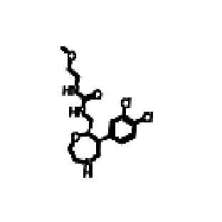 COCCNC(=O)NC[C@@H]1OCCNC[C@@H]1c1ccc(Cl)c(Cl)c1